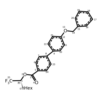 CCCCCC[C@@H](OC(=O)c1ccc(-c2ccc(OCc3ccccc3)cc2)cc1)C(F)(F)F